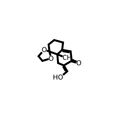 CC12CC(=CO)C(=O)C=C1CCCC21OCCO1